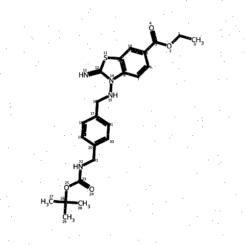 CCOC(=O)c1ccc2c(c1)sc(=N)n2NCc1ccc(CNC(=O)OC(C)(C)C)cc1